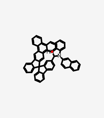 c1ccc2c(c1)NC(c1ccc3c(c1)C1(c4ccccc4-3)c3ccccc3-c3cc4c5ccccc5c5ccccc5c4cc31)N2c1ccc2ccccc2c1